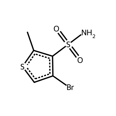 Cc1scc(Br)c1S(N)(=O)=O